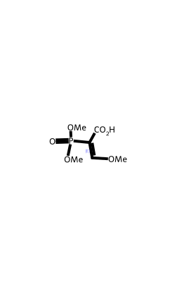 CO/C=C(\C(=O)O)P(=O)(OC)OC